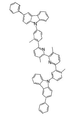 Cc1cc(-n2c3ccccc3c3cc(-c4ccccc4)ccc32)ccc1-c1ccc(C)c(-c2nc(-c3cc(-n4c5ccccc5c5cc(-c6ccccc6)ccc54)ccc3C)ccc2C)n1